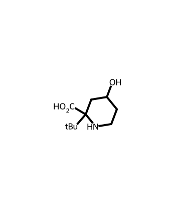 CC(C)(C)C1(C(=O)O)CC(O)CCN1